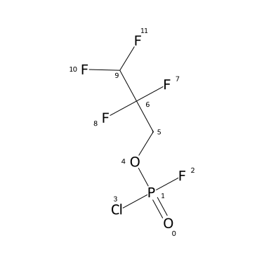 O=P(F)(Cl)OCC(F)(F)C(F)F